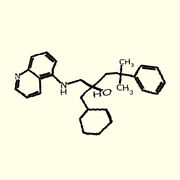 CC(C)(CC(O)(CNc1cccc2ncccc12)CC1CCCCC1)c1ccccc1